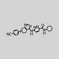 N#Cc1ccc(N2CCc3c(ncnc3Nc3ccc(C(=O)NC4CCCCC4)nn3)C2)cc1